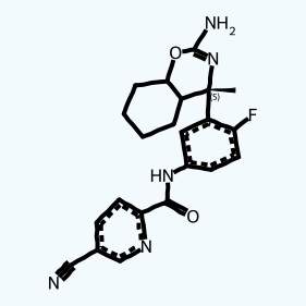 C[C@]1(c2cc(NC(=O)c3ccc(C#N)cn3)ccc2F)N=C(N)OC2CCCCC21